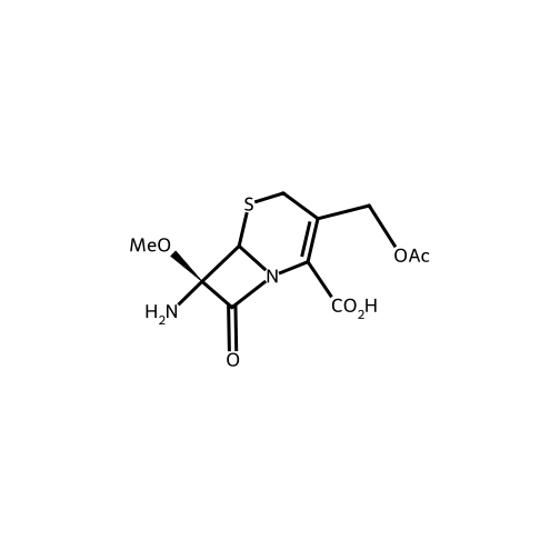 CO[C@]1(N)C(=O)N2C(C(=O)O)=C(COC(C)=O)CSC21